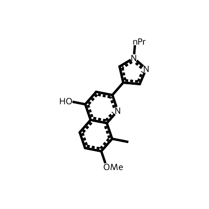 CCCn1cc(-c2cc(O)c3ccc(OC)c(C)c3n2)cn1